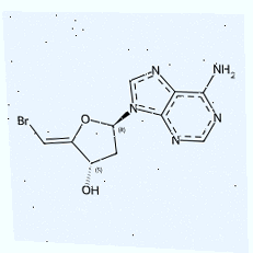 Nc1ncnc2c1ncn2[C@H]1C[C@H](O)C(=CBr)O1